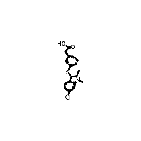 Cc1c(Sc2cccc(CC(=O)O)c2)c2ccc(Cl)cc2n1C